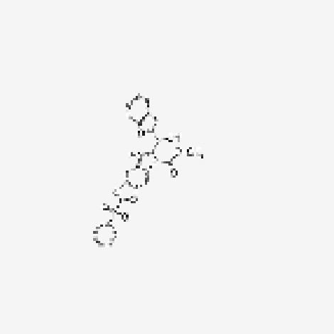 COC(=O)c1c(C(O)c2cc3ccccc3o2)[nH]c2cc3c(cc12)OC(S(=O)(=O)c1ccccc1)O3